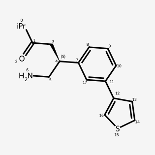 CC(C)C(=O)C[C@H](CN)c1cccc(-c2ccsc2)c1